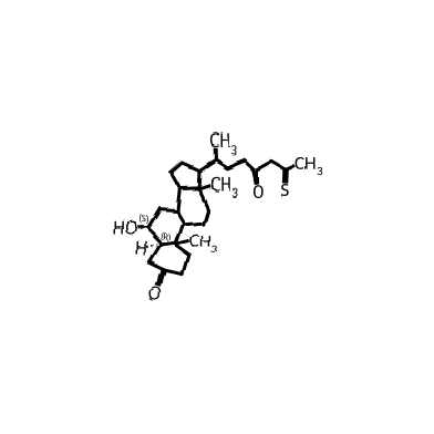 CC(=S)CC(=O)CCC(C)C1CCC2C3C[C@H](O)[C@@H]4CC(=O)CCC4(C)C3CCC12C